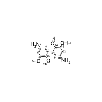 COc1cc(N)cc(-c2cc(N)cc(OI)c2OC)c1OC